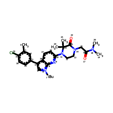 Cc1cc(-c2cn(C(C)(C)C)c3nc(N4CCN(CC(=O)N(C)C)C(=O)C4(C)C)ccc23)ccc1Cl